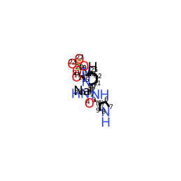 N=C(NC(=O)[C@@H]1CCNC1)[C@@H]1CC[C@@H]2CN1C(=O)N2OS(=O)(=O)[O-].[Na+]